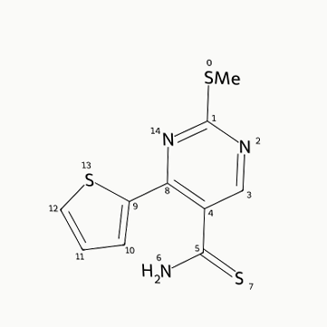 CSc1ncc(C(N)=S)c(-c2cccs2)n1